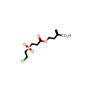 C=C(CCOC(=O)CCS(=O)(=O)CCCl)C(=O)O